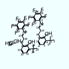 CC(C)(C)c1cccc(CCC=Nc2c(F)c(F)c(F)c(F)c2F)c1O.CC(C)(C)c1cccc(CCC=Nc2c(F)c(F)c(F)c(F)c2F)c1O.Cl.Cl.[Ti]